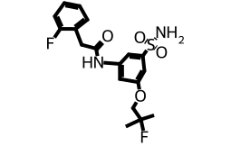 CC(C)(F)COc1cc(NC(=O)Cc2ccccc2F)cc(S(N)(=O)=O)c1